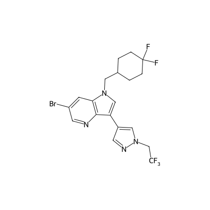 FC(F)(F)Cn1cc(-c2cn(CC3CCC(F)(F)CC3)c3cc(Br)cnc23)cn1